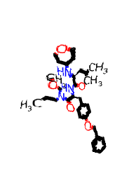 CCCN(COC)C(=O)[C@H](Cc1ccc(OCc2ccccc2)cc1)NC(=O)[C@H](CC(C)C)NC1CCOCC1